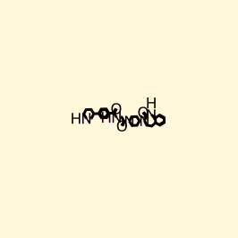 O=C(NCC(=O)N1CCC(N2CCC3C=CC=CC3NC2=O)CC1)c1ccc(C2CCCNC2)cc1